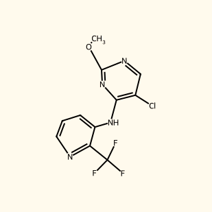 COc1ncc(Cl)c(Nc2cccnc2C(F)(F)F)n1